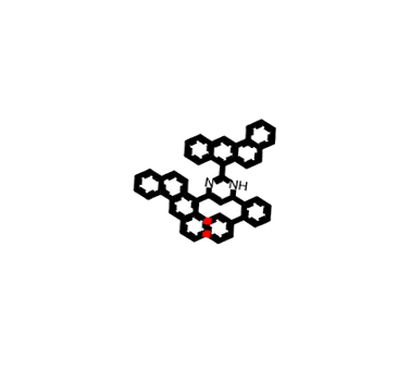 C1=C(c2c3ccccc3cc3c2ccc2ccccc23)N=C(c2c3ccccc3cc3c2ccc2ccccc23)NC1c1ccccc1-c1ccccc1